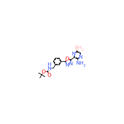 Bc1cnc(N)c(-c2nnc(-c3cccc(CNC(=O)OC(C)(C)C)c3)o2)n1